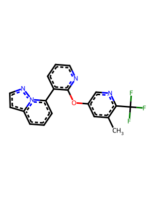 Cc1cc(Oc2ncccc2-c2cccc3ccnn23)cnc1C(F)(F)F